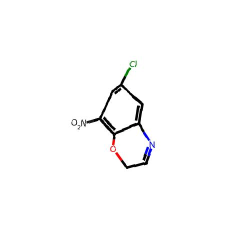 O=[N+]([O-])c1cc(Cl)cc2c1OCC=N2